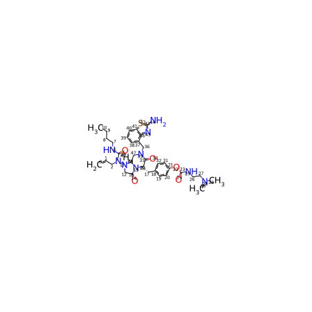 C=CCN(C(=O)NCCCC)N1CC(=O)N2[C@@H](Cc3ccc(OC(=O)NCCN(C)C)cc3)C(=O)N(Cc3cccc4sc(N)nc34)C[C@@H]21